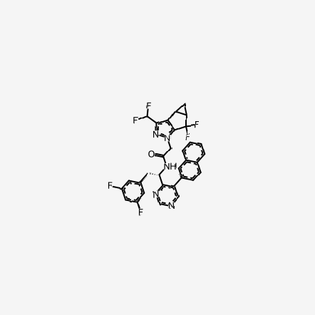 O=C(Cn1nc(C(F)F)c2c1C(F)(F)C1CC21)N[C@@H](Cc1cc(F)cc(F)c1)c1ncncc1-c1ccc2ccccc2c1